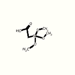 CO[Si](CC(=O)O)(OC)OC